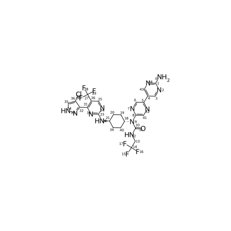 Nc1ncc(-c2cnc(N(C(=O)NCC(F)(F)F)[C@H]3CC[C@H](Nc4ncc(C(F)(F)F)c(-c5n[nH]cc5Cl)n4)CC3)cn2)cn1